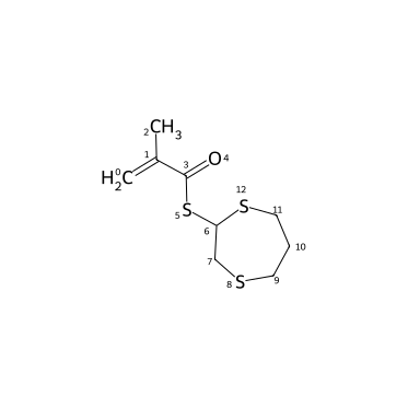 C=C(C)C(=O)SC1CSCCCS1